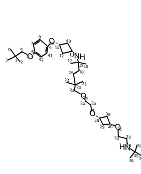 CC(C)(C)COc1ccc(O[C@H]2C[C@@H](NC(C)(C)CCC(C)(C)COCCO[C@H]3C[C@H](OCCNC(C)(C)C)C3)C2)cc1